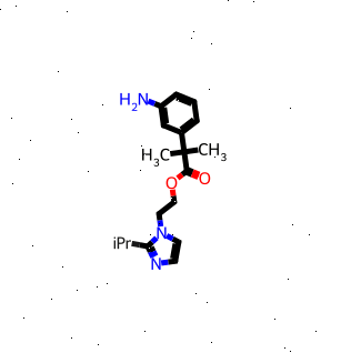 CC(C)c1nccn1CCOC(=O)C(C)(C)c1cccc(N)c1